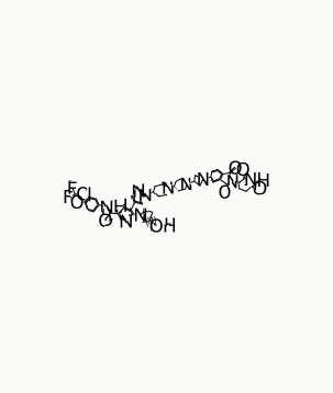 O=C1CCC(N2C(=O)c3ccc(N4CC(N5CCC(N6CCC(n7cc(-c8cc(C(=O)Nc9ccc(OC(F)(F)Cl)cc9)cnc8N8CC[C@@H](O)C8)cn7)CC6)CC5)C4)cc3C2=O)C(=O)N1